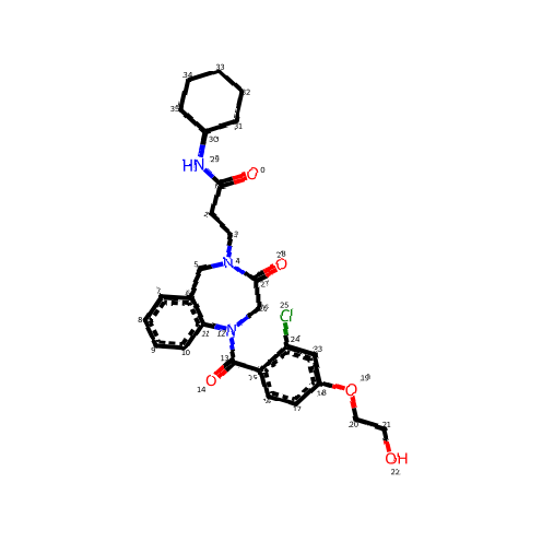 O=C(CCN1Cc2ccccc2N(C(=O)c2ccc(OCCO)cc2Cl)CC1=O)NC1CCCCC1